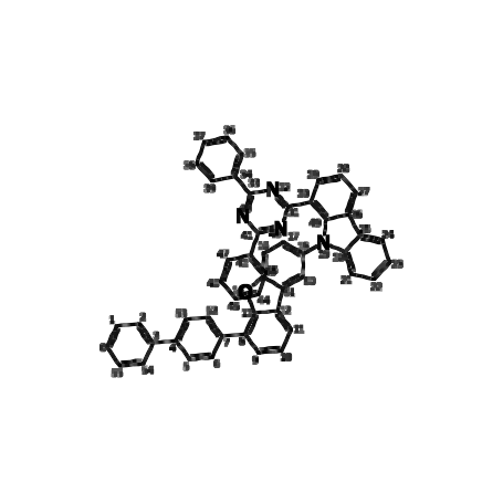 c1ccc(-c2ccc(-c3cccc4c3oc3ccc(-n5c6ccccc6c6cccc(-c7nc(-c8ccccc8)nc(-c8ccccc8)n7)c65)cc34)cc2)cc1